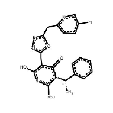 CCCCc1nc(O)c(-c2nnc(Cc3ccc(Cl)cn3)o2)c(=O)n1[C@@H](C)c1ccccc1